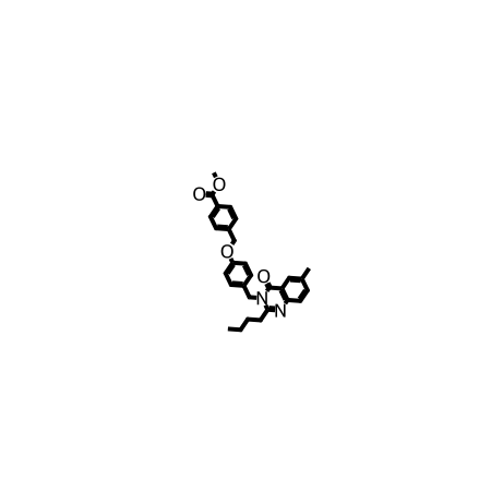 CCCCc1nc2ccc(C)cc2c(=O)n1Cc1ccc(OCc2ccc(C(=O)OC)cc2)cc1